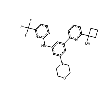 OC1(c2cccc(-c3cc(Nc4nccc(C(F)(F)F)n4)cc(N4CCOCC4)c3)n2)CCC1